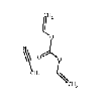 C=COC(=O)OC=C.CC#N